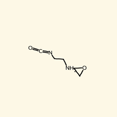 C1CO1.NCCN=C=O